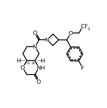 O=C1CO[C@H]2CCN(C(=O)N3CC(C(OCC(F)(F)F)c4ccc(F)cc4)C3)C[C@H]2N1